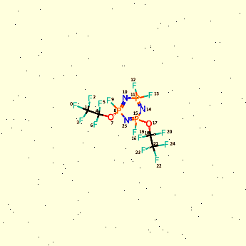 FC(F)(F)C(F)(F)OP1(F)=NP(F)(F)=NP(F)(OC(F)(F)C(F)(F)F)=N1